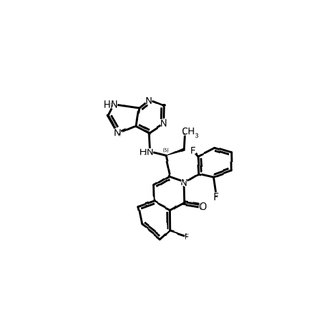 CC[C@H](Nc1ncnc2[nH]cnc12)c1cc2cccc(F)c2c(=O)n1-c1c(F)cccc1F